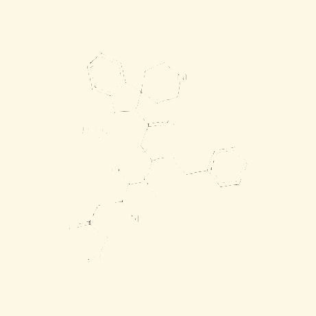 CN(C(=O)C(N)CC(=O)OC(C)(C)C)C(CC(=O)C1C(C(=O)O)c2ccccc2C12CCNCC2)OCc1ccccc1